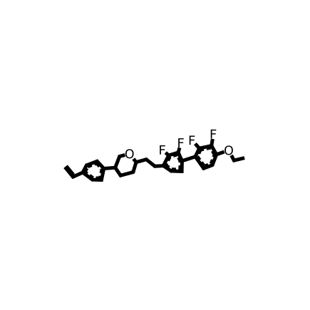 C=Cc1ccc(C2CCC(CCc3ccc(-c4ccc(OCC)c(F)c4F)c(F)c3F)OC2)cc1